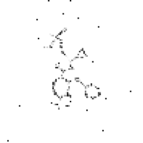 CN=[S@@](C)(=O)/C=C/[C@H](NC(=O)c1cnc(C(C)(F)F)nc1Oc1ccccc1)C1CC1